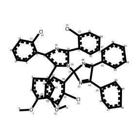 COc1ccc(-c2c(-c3ccccc3Cl)nc(-c3ccccc3Cl)n2C2(c3ccccc3Cl)N=C(c3ccccc3)C(c3ccccc3)=N2)cc1OC